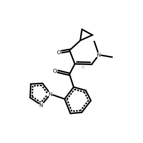 CN(C)/C=C(/C(=O)c1ccccc1-n1cccn1)C(=O)C1CC1